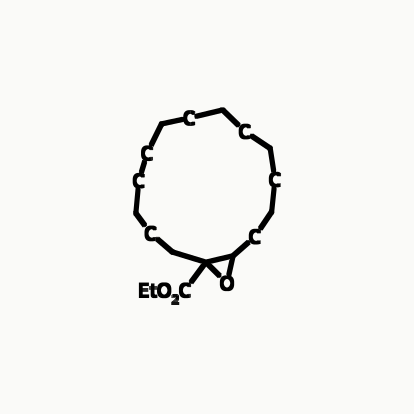 CCOC(=O)C12CCCCCCCCCCCCCC1O2